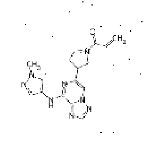 C=CC(=O)N1CCC(c2cn3ncnc3c(Nc3cnn(C)c3)n2)C1